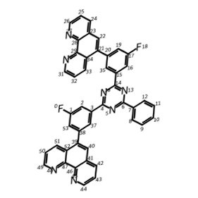 Fc1cc(-c2nc(-c3ccccc3)nc(-c3cc(F)cc(-c4cc5cccnc5c5ncccc45)c3)n2)cc(-c2cc3cccnc3c3ncccc23)c1